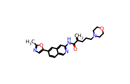 C=C(CCCN1CCOCC1)C(=O)Nc1cc2cc(-c3cnc(C)o3)ccc2cn1